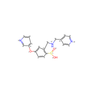 O=S(O)c1ccc(Oc2cccnc2)cc1CNCc1ccncc1